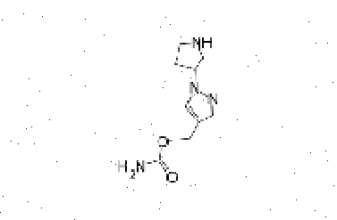 NC(=O)OCc1cnn(C2CCNC2)c1